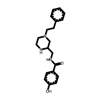 O=C(NCC1CN(CCc2ccccc2)CCN1)c1ccc(O)cc1